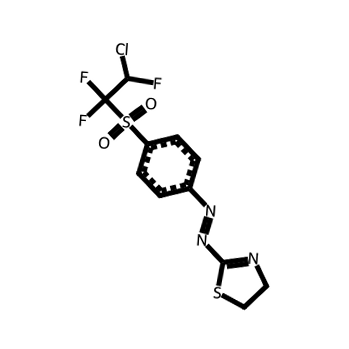 O=S(=O)(c1ccc(/N=N/C2=NCCS2)cc1)C(F)(F)C(F)Cl